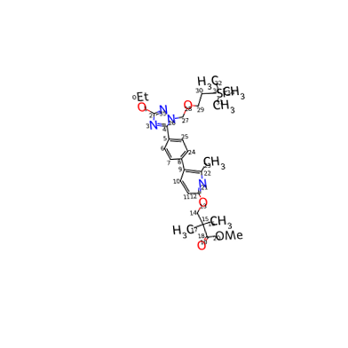 CCOc1nc(-c2ccc(-c3ccc(OCC(C)(C)C(=O)OC)nc3C)cc2)n(COCC[Si](C)(C)C)n1